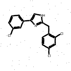 Clc1cccc(-c2c[nH]c(Cc3ccc(Cl)cc3Cl)n2)c1